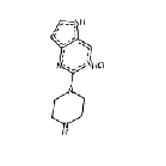 Cl.c1cc2nc(N3CCNCC3)ncc2[nH]1